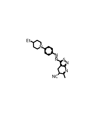 CCC1CCN(c2ccc(N=Nc3snc4c3CC(C#N)C(C)=N4)cc2)CC1